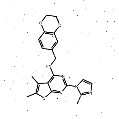 Cc1sc2nc(-n3ccnc3C)nc(NCc3ccc4c(c3)OCCO4)c2c1C